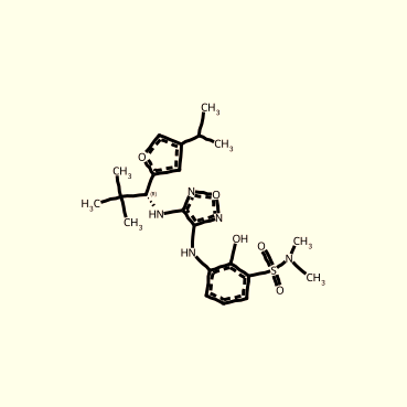 CC(C)c1coc([C@H](Nc2nonc2Nc2cccc(S(=O)(=O)N(C)C)c2O)C(C)(C)C)c1